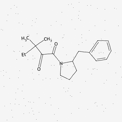 CCC(C)(C)C(=O)C(=O)N1CCCC1Cc1ccccc1